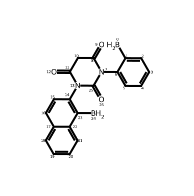 Bc1ccccc1N1C(=O)CC(=O)N(c2ccc3ccccc3c2B)C1=O